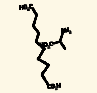 CC(N)C(=O)O.O=C(O)CCCCCCCCC(=O)O